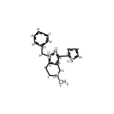 CN1CCc2c(c(-c3cccs3)nn2Cc2ccccc2)C1